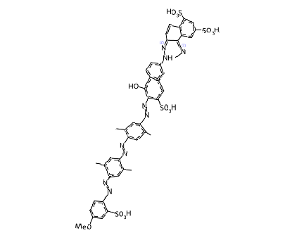 C/N=C1\C(=N/Nc2ccc3c(O)c(N=Nc4cc(C)c(N=Nc5cc(C)c(N=Nc6ccc(OC)cc6S(=O)(=O)O)cc5C)cc4C)c(S(=O)(=O)O)cc3c2)C=Cc2c1cc(S(=O)(=O)O)cc2S(=O)(=O)O